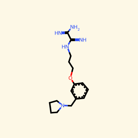 N=C(N)C(=N)NCCCOc1cccc(CN2CCCC2)c1